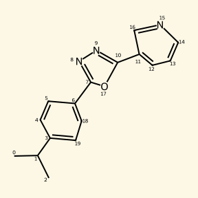 CC(C)c1ccc(-c2nnc(-c3cccnc3)o2)cc1